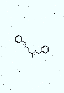 CC(CCSCc1ccccc1)SCc1ccccc1